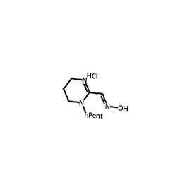 CCCCCN1CCCN=C1/C=N/O.Cl